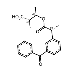 C[C@H](C(=O)O)[C@@H](C)OC(=O)[C@H](C)c1cccc(C(=O)c2ccccc2)c1